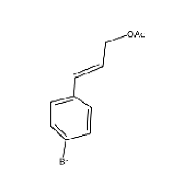 CC(=O)OCC=Cc1ccc(Br)cc1